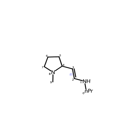 CCCN/C=C/C1CCCN1C